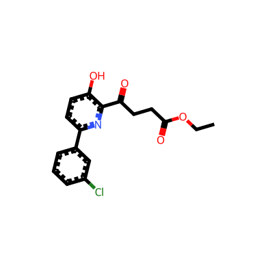 CCOC(=O)CCC(=O)c1nc(-c2cccc(Cl)c2)ccc1O